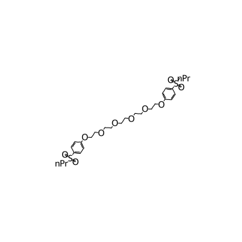 CCCS(=O)(=O)c1ccc(OCCOCCOCCOCCOCCOc2ccc(S(=O)(=O)CCC)cc2)cc1